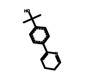 CC(C)(O)c1ccc(C2=CCCC=N2)cc1